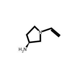 C=CN1CC[C@H](N)C1